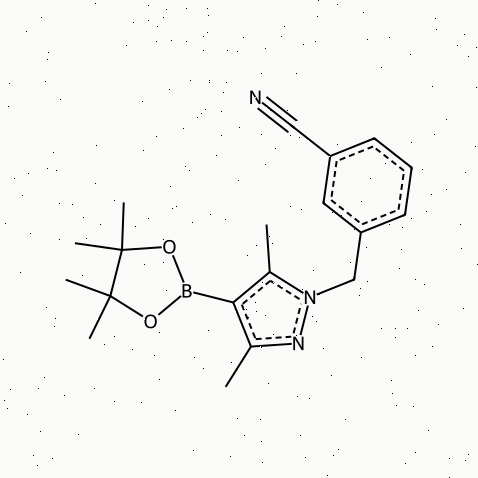 Cc1nn(Cc2cccc(C#N)c2)c(C)c1B1OC(C)(C)C(C)(C)O1